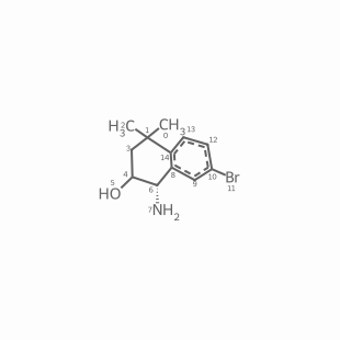 CC1(C)CC(O)[C@@H](N)c2cc(Br)ccc21